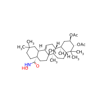 CC(=O)O[C@@H]1C[C@]2(C)[C@H]3CC=C4[C@@H]5CC(C)(C)CC[C@]5(C(=O)NO)CC[C@@]4(C)[C@]3(C)CC[C@H]2C(C)(C)[C@H]1OC(C)=O